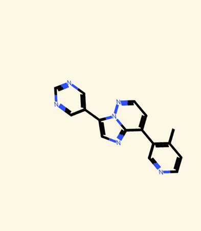 Cc1ccncc1-c1ccnn2c(-c3cncnc3)cnc12